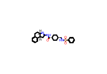 O=C(NC1=N[C@@H]2CCc3ccccc3[C@@H]2C1)[C@H]1CC[C@H](CNS(=O)(=O)c2ccccc2)CC1